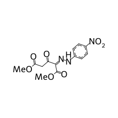 COC(=O)CC(=O)C(=NNc1ccc([N+](=O)[O-])cc1)C(=O)OC